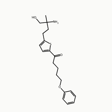 CC(N)(CO)CCc1ccc(C(=O)CCCCOc2ccccc2)s1